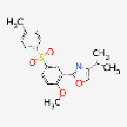 COc1ccc(S(=O)(=O)c2ccc(C)cc2)cc1-c1nc(C(C)C)co1